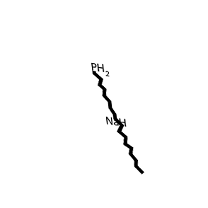 CCCCCCCCCCCCCCCCCCP.[NaH]